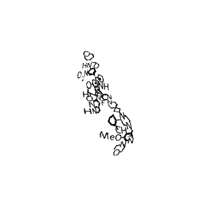 COc1cc(CN2CCN(C3CC4(CCN(c5ncc(C(=O)NS(=O)(=O)c6cc7c(c([N+](=O)[O-])c6)N[C@H](C6CCOCC6)CO7)c(N6c7cc8cc[nH]c8nc7O[C@H]7COCC[C@@H]76)c5F)CC4)C3)[C@H](c3ccccc3C)C2)cnc1N1CCOCC1